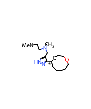 CNCCN(C)Cc1c[nH]nc1[C@@H]1CCCCCOCCC1